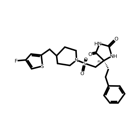 O=C1NC(=O)[C@](CCc2ccccc2)(CS(=O)(=O)N2CCC(Cc3cc(F)cs3)CC2)N1